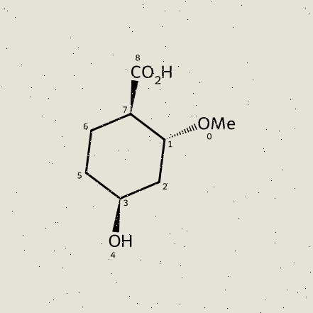 CO[C@@H]1C[C@@H](O)CC[C@H]1C(=O)O